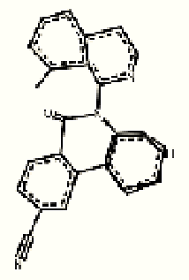 Cc1cccc2ccnc(N(C(=O)c3ccc(C#N)cc3-c3cccnc3)[C@@H]3CCCNC3)c12